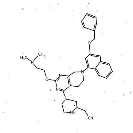 CN(C)CCOc1nc2c(c(N3CCNC(CC#N)C3)n1)CCN(c1cc(OCc3ccccc3)cc3ccccc13)C2